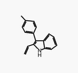 C=Cc1[nH]c2ccccc2c1-c1ccc(C)cc1